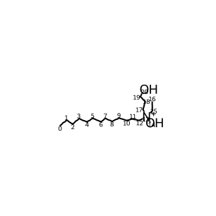 CCCCCCCCCCCCC[N+](O)(CC)CCCO